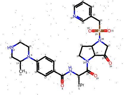 CCCC(NC(=O)c1ccc(N2CCNCC2C)cc1)C(=O)N1CCC2C1C(=O)CN2S(=O)(=O)Cc1cccnc1